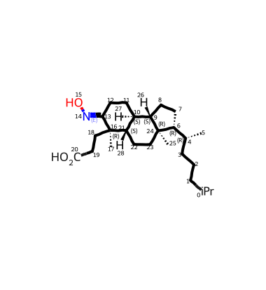 CC(C)CCC[C@@H](C)[C@H]1CC[C@H]2[C@@H]3CC/C(=N\O)[C@](C)(CCC(=O)O)[C@H]3CC[C@]12C